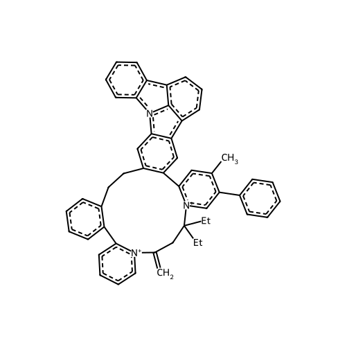 C=C1CC(CC)(CC)[n+]2cc(-c3ccccc3)c(C)cc2-c2cc3c4cccc5c6ccccc6n(c3cc2CCc2ccccc2-c2cccc[n+]21)c54